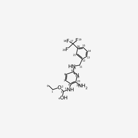 CCOC(O)Nc1ccc(NCc2cccc(C(F)(F)F)c2)nc1N